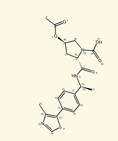 CC(=O)O[C@@H]1C[C@@H](C(=O)N[C@@H](C)c2ccc(-c3scnc3C)cc2)N(C(=O)O)C1